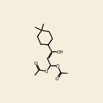 CC(=O)OC(C=C(O)C1CCC(C)(C)CC1)OC(C)=O